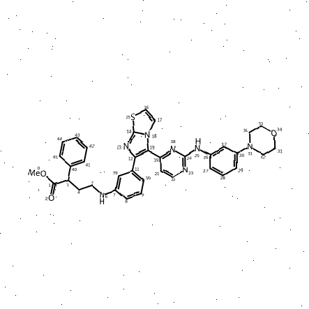 COC(=O)C(CCNc1cccc(-c2nc3sccn3c2-c2ccnc(Nc3cccc(N4CCOCC4)c3)n2)c1)c1ccccc1